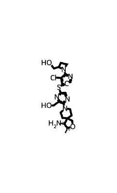 C[C@@H]1OCC2(CCN(c3ncc(Sc4ccnc(N5CCC5CO)c4Cl)nc3CO)CC2)[C@@H]1N